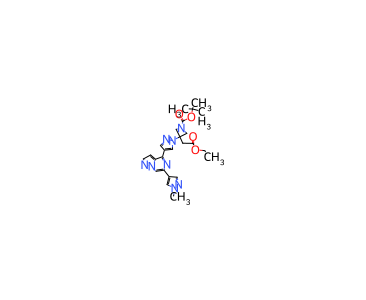 CCOC(=O)CC1(n2cc(-c3nc(-c4cnn(C)c4)cn4nccc34)cn2)CN(C(=O)OC(C)(C)C)C1